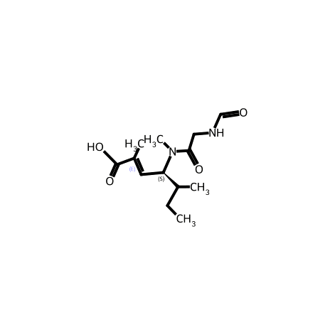 CCC(C)[C@@H](/C=C(\C)C(=O)O)N(C)C(=O)CNC=O